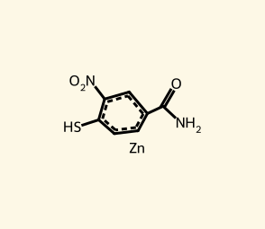 NC(=O)c1ccc(S)c([N+](=O)[O-])c1.[Zn]